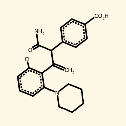 C=C(c1c(Cl)cccc1N1CCCCC1)C(C(N)=O)c1ccc(C(=O)O)cc1